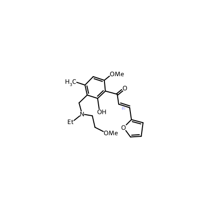 CCN(CCOC)Cc1c(C)cc(OC)c(C(=O)/C=C/c2ccco2)c1O